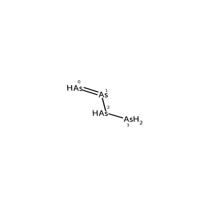 [AsH]=[As][AsH][AsH2]